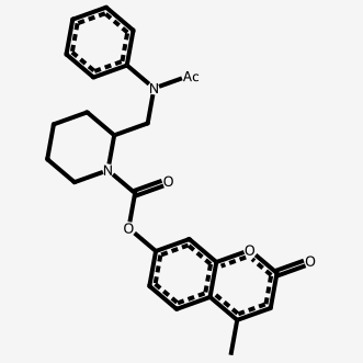 CC(=O)N(CC1CCCCN1C(=O)Oc1ccc2c(C)cc(=O)oc2c1)c1ccccc1